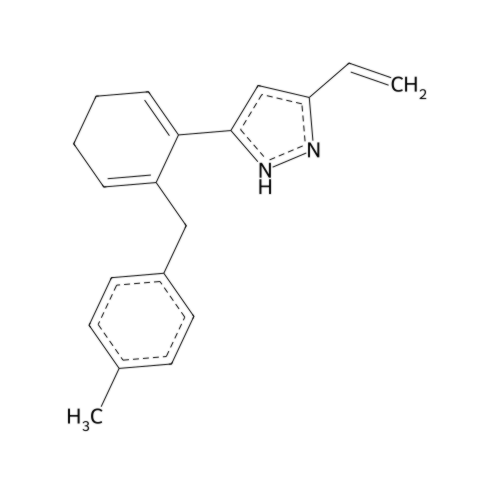 C=Cc1cc(C2=CCCC=C2Cc2ccc(C)cc2)[nH]n1